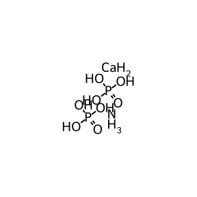 N.O=P(O)(O)O.O=P(O)(O)O.[CaH2]